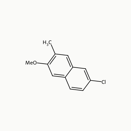 COc1cc2ccc(Cl)cc2cc1C